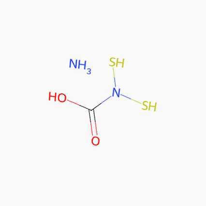 N.O=C(O)N(S)S